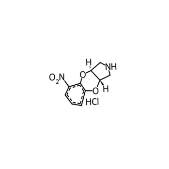 Cl.O=[N+]([O-])c1cccc2c1O[C@H]1CNC[C@@H]1O2